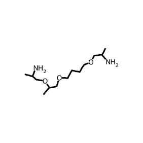 CC(N)COCCCCOCC(C)OCC(C)N